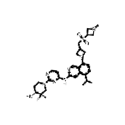 CC(C)c1ccc(N2CC(CS(=O)(=O)C3CN(C)C3)C2)c2cnc(Nc3ccnc(N4CC[C@@H](O)[C@@](C)(F)C4)n3)cc12